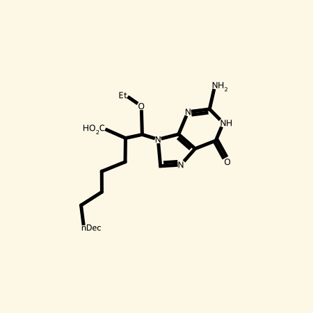 CCCCCCCCCCCCCCC(C(=O)O)C(OCC)n1cnc2c(=O)[nH]c(N)nc21